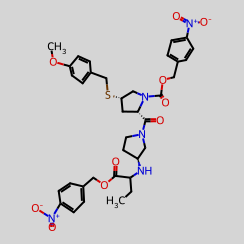 CCC(N[C@H]1CCN(C(=O)[C@@H]2C[C@H](SCc3ccc(OC)cc3)CN2C(=O)OCc2ccc([N+](=O)[O-])cc2)C1)C(=O)OCc1ccc([N+](=O)[O-])cc1